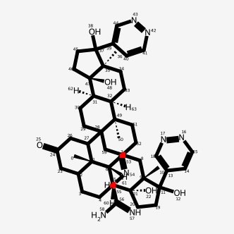 C[C@]12C(CC[C@@H]3[C@H]1CC[C@]1(C)C(O)(c4ccnnc4)CC[C@@]31O)CC(=O)CC2C12CC[C@@H]3[C@@H](CC[C@]4(C)C(O)(c5ccnnc5)CC[C@@]34O)[C@@]1(C)CCC(=NNC(=N)N)C2